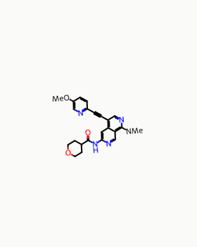 CNc1ncc(C#Cc2ccc(OC)cn2)c2cc(NC(=O)C3CCOCC3)ncc12